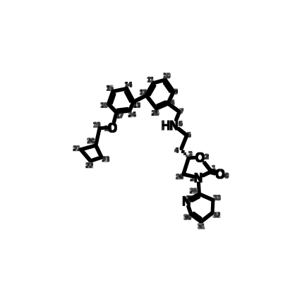 O=C1O[C@@H](CCNCc2cccc(-c3cccc(OCC4CCC4)c3)c2)CN1C1=NC=CCC1